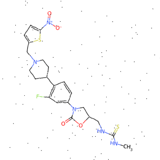 CNC(=S)NCC1CN(c2ccc(C3CCN(Cc4ccc([N+](=O)[O-])s4)CC3)c(F)c2)C(=O)O1